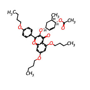 CCCCOc1ccc(-c2oc3cc(OCCCC)cc(OCCCC)c3c(=O)c2O[C@H]2C=C[C@@H](OC(C)=O)[C@H](C)C2)cc1